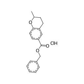 CC1CCc2cc(C(=O)OCc3ccccc3)ccc2O1.Cl